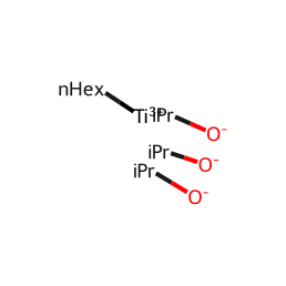 CC(C)[O-].CC(C)[O-].CC(C)[O-].CCCCC[CH2][Ti+3]